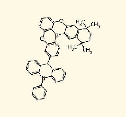 CC1(C)CCC(C)(C)c2cc3c(cc21)Oc1cccc2c1B3c1ccc(N3c4ccccc4N(c4ccccc4)c4ccccc43)cc1O2